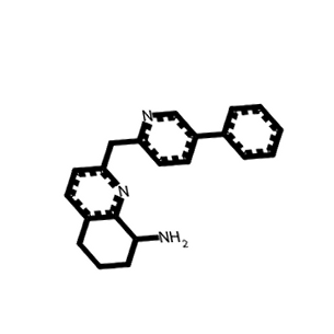 NC1CCCc2ccc(Cc3ccc(-c4ccccc4)cn3)nc21